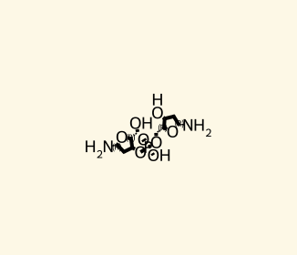 N[C@H]1CC(O)[C@@H](COP(=O)(O)OC2C[C@H](N)O[C@@H]2CO)O1